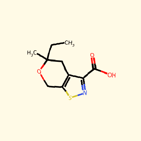 CCC1(C)Cc2c(C(=O)O)nsc2CO1